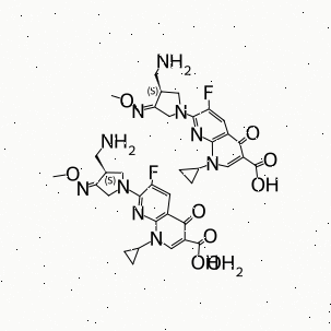 CON=C1CN(c2nc3c(cc2F)c(=O)c(C(=O)O)cn3C2CC2)C[C@@H]1CN.CON=C1CN(c2nc3c(cc2F)c(=O)c(C(=O)O)cn3C2CC2)C[C@@H]1CN.O